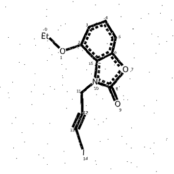 CCOc1cccc2oc(=O)n(CC#CI)c12